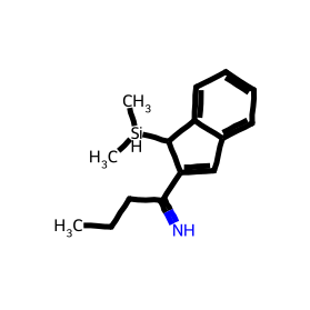 CCCC(=N)C1=Cc2ccccc2C1[SiH](C)C